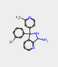 NC1NC(c2cccc(Br)c2)(c2ccnc(C(F)(F)F)c2)c2cccnc21